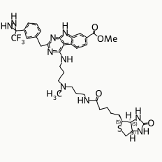 COC(=O)c1ccc2c(c1)[nH]c1nc(Cc3cccc(C4(C(F)(F)F)NN4)c3)nc(NCCCN(C)CCCNC(=O)CCCC[C@@H]3SC[C@@H]4NC(=O)N[C@@H]43)c12